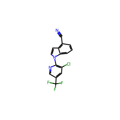 N#Cc1cccc2c1ccn2-c1ncc(C(F)(F)F)cc1Cl